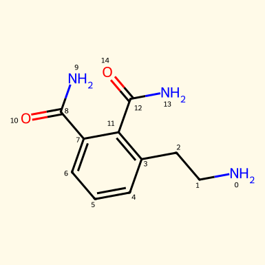 NCCc1cccc(C(N)=O)c1C(N)=O